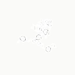 COc1cccc(CCOc2cc(-c3c(C)nc(C)c([C@H](OC(C)(C)C)C(=O)O)c3N3CCC(C)(C)CC3)ccc2OCCc2cccc(C)c2)c1